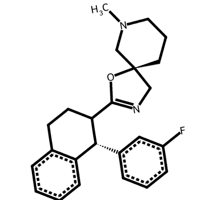 CN1CCC[C@]2(CN=C(C3CCc4ccccc4[C@H]3c3cccc(F)c3)O2)C1